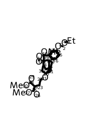 CCOCOc1cccc(C2(OC)OOC23C2CC4CC3CC(OCCC(C(=O)OC)C(=O)OC)(C4)C2)c1